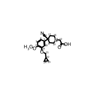 COc1ccc(C2(C#N)CCN(CC(=O)O)CC2)cc1OCC1CC1